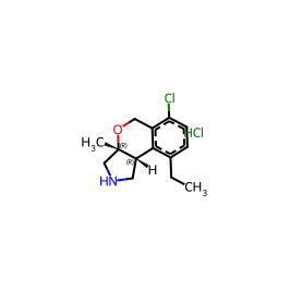 CCc1ccc(Cl)c2c1[C@@H]1CNC[C@]1(C)OC2.Cl